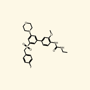 CCNC(=O)Nc1ccc(-c2cc(N3CCOCC3)cc(S(=O)(=O)Cc3ccc(F)cc3)c2)cc1OC